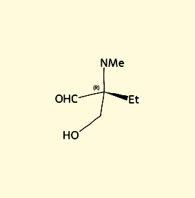 CC[C@](C=O)(CO)NC